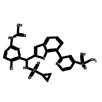 CS(=N)(=O)c1ccnc(-c2cccc3cc(C(NS(=O)(=O)C4CC4)c4nc(NC(=O)O)ccc4Cl)sc23)c1